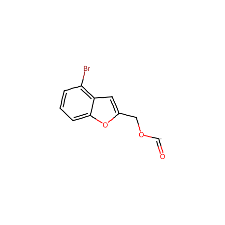 O=[C]OCc1cc2c(Br)cccc2o1